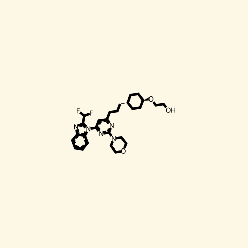 OCCO[C@H]1CC[C@H](CCCc2cc(-n3c(C(F)F)nc4ccccc43)nc(N3CCOCC3)n2)CC1